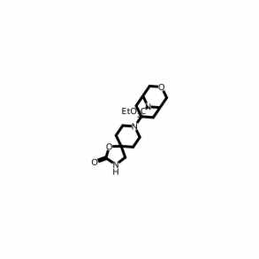 CCOC(=O)N1C2COCC1CC(N1CCC3(CC1)CNC(=O)O3)C2